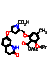 COC(=O)c1c(OC[C@@H]2C[C@H](Oc3ccc4c(c3)NC(=O)CC4)CN2C(=O)O)cc(C)cc1OC(C)C